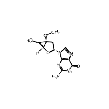 CO[C@@]12C[C@H](n3cnc4c(=O)[nH]c(N)nc43)O[C@@H]1C2O